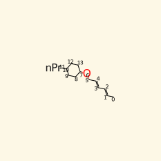 CC=CC=CCOC1CCC(CCC)CC1